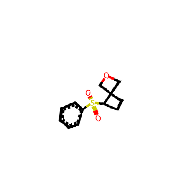 O=S(=O)(c1ccccc1)C1CCC12COC2